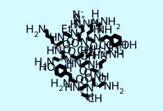 C#CC[C@H](NC(=O)[C@@H](N)Cc1ccc(O)cc1)C(=O)N[C@@H](CC(N)=O)C(=O)N[C@@H](CCCNC(=N)N)C(=O)N[C@@H](CCN)C(=O)N[C@H](C(=O)N[C@H](CCN)C(=O)N[C@@H](CCCCN)C(=O)N[C@@H](CC)C(=O)N[C@@H](CC(N)N=[N+]=[N-])C(=O)N[C@@H](CCCNC(=N)N)C(=O)N[C@@H](Cc1ccc(O)cc1)C(=O)O)[C@@H](C)O